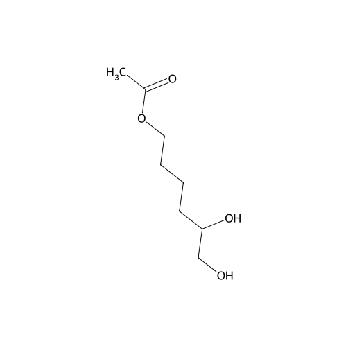 CC(=O)OCCCCC(O)CO